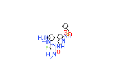 NC(=O)c1cc(F)c(NC2CCCC[C@@H]2N)nc1Nc1cnc2c(NS(=O)(=O)Cc3ccccc3)cccc2c1